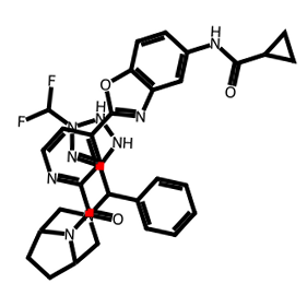 O=C(Nc1ccc2oc(-c3ccnc(C(=O)N4C5CCC4CN(C(C4=NN(C(F)F)NN4)c4ccccc4)C5)c3)nc2c1)C1CC1